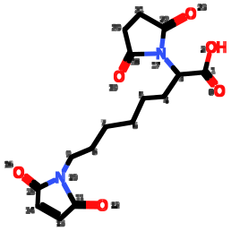 O=C(O)C(CCCCCCN1C(=O)C=CC1=O)N1C(=O)CCC1=O